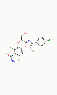 NC(=O)c1c(F)ccc(OC(CO)c2nc(-c3ccc(F)cc3)c(Br)o2)c1F